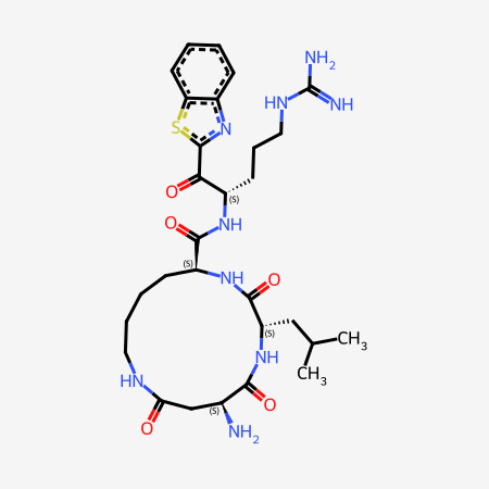 CC(C)C[C@@H]1NC(=O)[C@@H](N)CC(=O)NCCCC[C@@H](C(=O)N[C@@H](CCCNC(=N)N)C(=O)c2nc3ccccc3s2)NC1=O